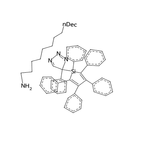 C1=NN=NC1(c1ccccc1)[Si]1(c2ccccc2)C(c2ccccc2)=C(c2ccccc2)C(c2ccccc2)=C1c1ccccc1.CCCCCCCCCCCCCCCCCCN